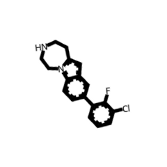 Fc1c(Cl)cccc1-c1ccc2c(c1)cc1n2CCNCC1